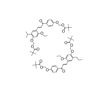 CCCc1cc(/C=C/C(=O)c2ccc(OCOC(=O)C(C)(C)C)cc2)c(OCC)cc1OCOC(=O)C(C)(C)C.CCOc1cc(OCOC(=O)C(C)(C)C)c(C(C)C)cc1/C=C/C(=O)c1ccc(OCOC(=O)C(C)(C)C)cc1